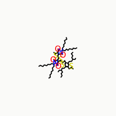 CCCCCCCCC(CCCCCCC)N1C(=O)c2c(C)sc(-c3sc(-c4cc5c(CCC(CC)CCCC)c6sc(C)cc6c(CCC(CC)CCCC)c5s4)c4c3C(=O)N(C(CCCCCCCC)CCCCCCCC)C4=O)c2C1=O